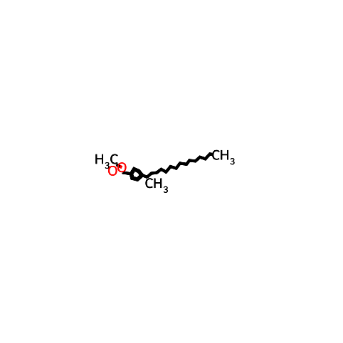 CCCCCCCCCCCCCCC(C)c1ccc(COC(C)=O)cc1